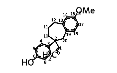 C=CC1(c2ccc(O)cc2)CCCc2cc(OC)ccc2C1